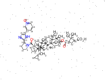 CC1([C@@H]2CC[C@]3(C(=O)N4CCC[C@H]4c4ncc(-c5ccc[n+]([O-])c5)[nH]4)CC[C@]4(C)[C@H](CC[C@@H]5[C@@]6(C)CC[C@H](OC(=O)[C@H]7C[C@@H](C(=O)O)C7(C)C)C(C)(C)[C@@H]6CC[C@]54C)[C@@H]23)CC1